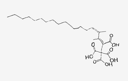 CCCCCCCCCCCCCC=C(C)C(C)=C(C(=O)O)C(C(=O)O)(C(=O)O)C(=O)O